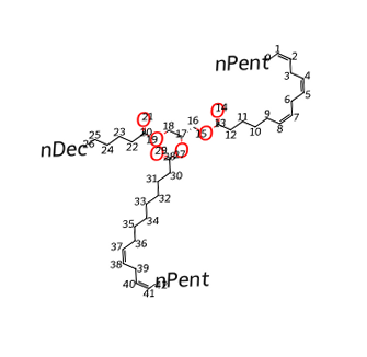 CCCCC/C=C\C/C=C\C/C=C\CCCCC(=O)OC[C@@H](COC(=O)CCCCCCCCCCCCCC)OC(=O)CCCCCCC/C=C\C/C=C\CCCCC